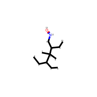 CCC(CC)C(C)(C)C(CC)CN=O